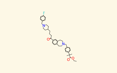 CCOC(=O)C(C)(C)c1ccc(CN2CCc3ccc(C(=O)CCCC4CCN(Cc5ccc(F)cc5)CC4)cc3CC2)cc1